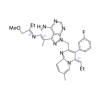 CC/C=C1/C(c2cccc(F)c2)=C(Cn2nc(/C(C)=C/N=C(\CC)COC)c3c(N)ncnc32)N=C2C=CC(C)=CN21